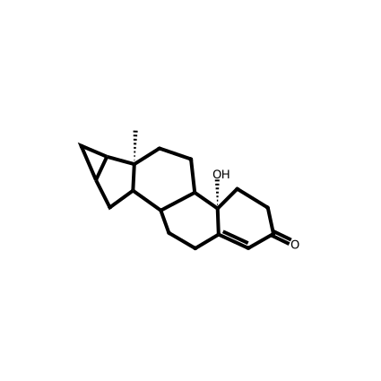 C[C@]12CCC3C(CCC4=CC(=O)CC[C@@]43O)C1CC1CC12